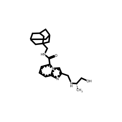 C[C@@H](CO)NCc1cn2c(C(=O)NCC34CC5CC(CC(C5)C3)C4)cccc2n1